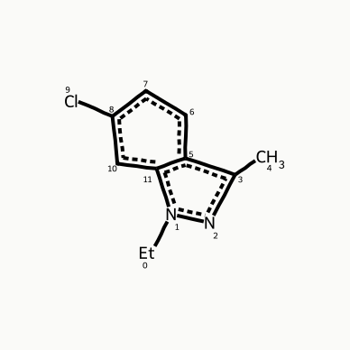 CCn1nc(C)c2ccc(Cl)cc21